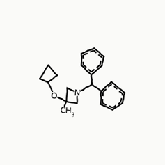 CC1(OC2CCC2)CN(C(c2ccccc2)c2ccccc2)C1